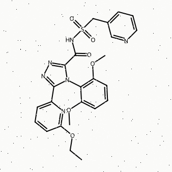 CCOc1cccc(-c2nnc(C(=O)NS(=O)(=O)Cc3cccnc3)n2-c2c(OC)cccc2OC)n1